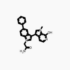 Cn1cc(-c2cn(CC(N)=O)c3ccc(-c4ccccc4)cc23)c2ccnc(O)c21